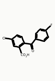 O=C(O)c1cc(Cl)ccc1C(=O)c1ccc(F)cc1